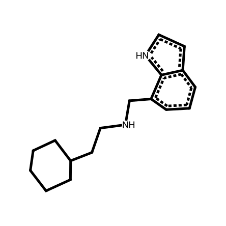 c1cc(CNCCC2CCCCC2)c2[nH]ccc2c1